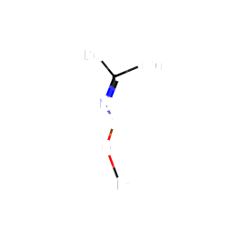 CCOSN=C(C(C)(C)C)C(C)(C)C